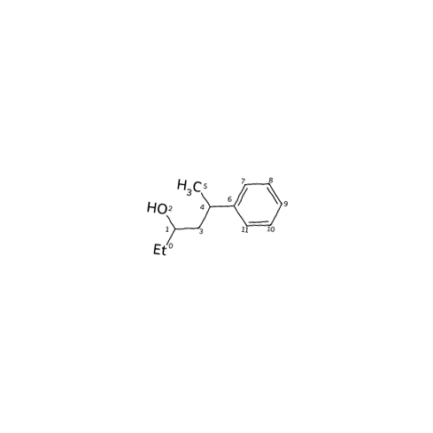 CCC(O)CC(C)c1ccccc1